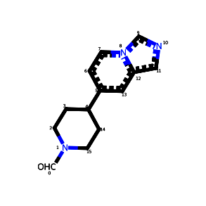 O=CN1CCC(c2ccn3cncc3c2)CC1